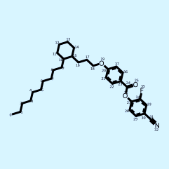 CCCCCCCCCCC1CCCCC1CCCOc1ccc(C(=O)Oc2ccc(C#N)cc2F)cc1